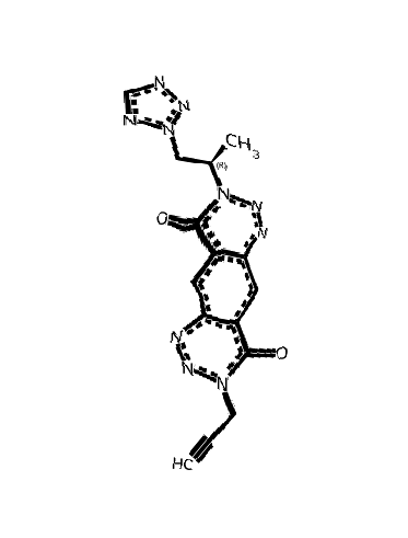 C#CCn1nnc2cc3c(=O)n([C@H](C)Cn4ncnn4)nnc3cc2c1=O